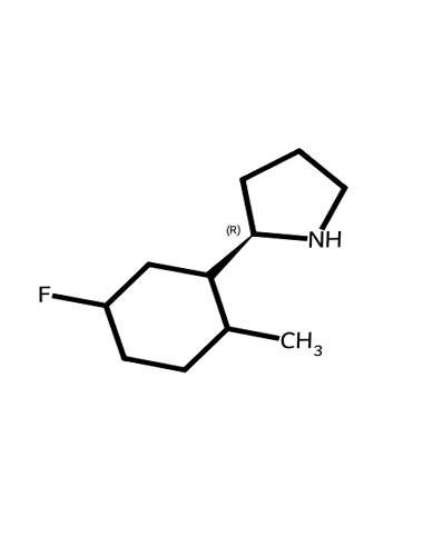 CC1CCC(F)CC1[C@H]1CCCN1